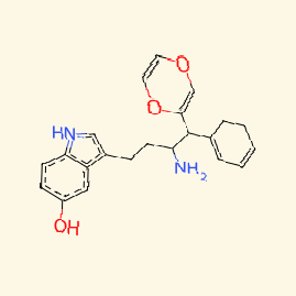 NC(CCc1c[nH]c2ccc(O)cc12)C(C1=CC=CCC1)C1=COC=CO1